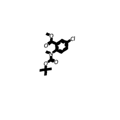 COC(=O)c1cc(Cl)ccc1N(C)C(=O)OC(C)(C)C